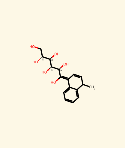 CC1C=CC(=C(O)[C@H](O)[C@@H](O)[C@H](O)[C@H](O)CO)c2ccccc21